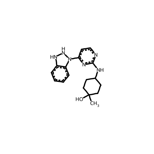 CC1(O)CCC(Nc2nccc(N3NNc4ccccc43)n2)CC1